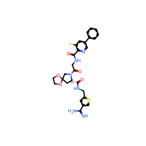 N=C(N)c1csc(CNC(=O)[C@@H]2CC3(CN2C(=O)CNC(=O)c2ncc(-c4ccccc4)cc2F)OCCO3)c1